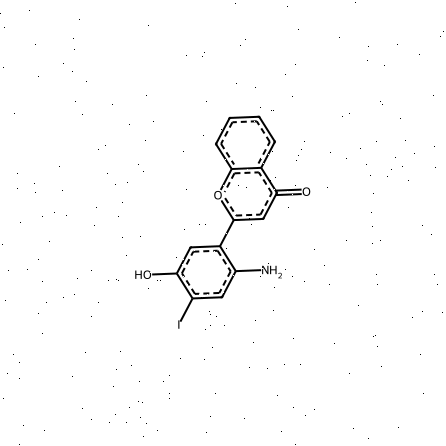 Nc1cc(I)c(O)cc1-c1cc(=O)c2ccccc2o1